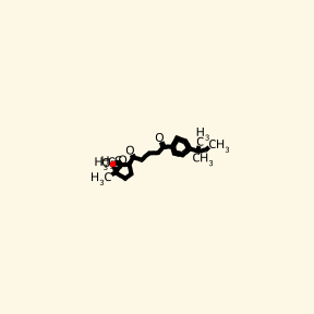 CCC(C)(C)c1ccc(C(=O)CCCC(=O)C23CCC(C)(C(=O)O2)C3(C)C)cc1